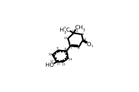 CC1(C)CC(=O)C=C(c2ccc(O)cc2)C1